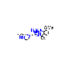 CCC1c2cccc(OC)c2N=C(N)N1/N=C(\N)CCN1CCCn2nc(C)cc2C1